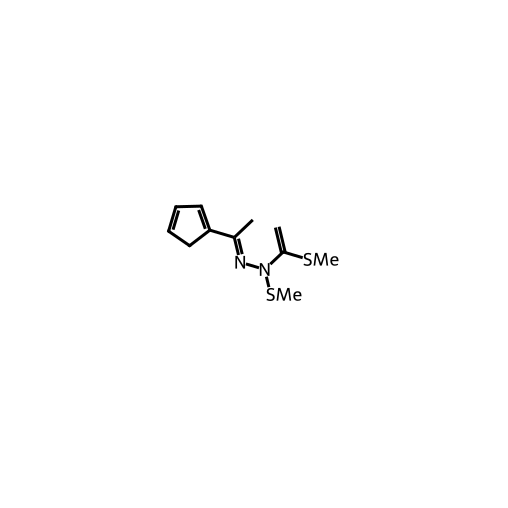 C=C(SC)N(/N=C(\C)C1=CC=CC1)SC